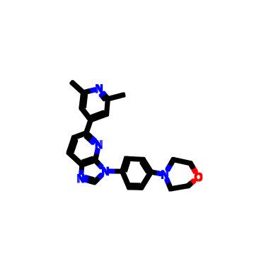 Cc1cc(-c2ccc3ncn(-c4ccc(N5CCOCC5)cc4)c3n2)cc(C)n1